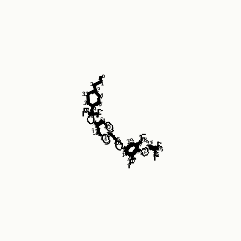 CCCC1CCC(C(F)(F)OC2COC(COc3cc(F)c(OC=C(F)F)c(F)c3)OC2)CC1